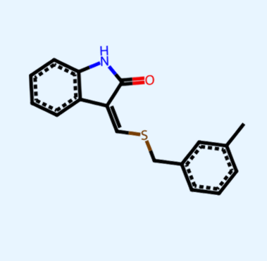 Cc1cccc(CSC=C2C(=O)Nc3ccccc32)c1